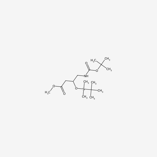 COC(=O)CC(CNC(=O)OC(C)(C)C)O[Si](C)(C)C(C)(C)C